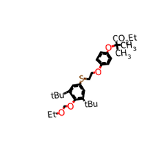 CCOCOc1c(C(C)(C)C)cc(SCCOc2ccc(OC(C)(C)C(=O)OCC)cc2)cc1C(C)(C)C